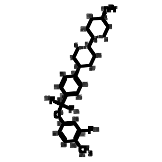 CCC[C@H]1CC[C@H]([C@H]2CC[C@H](c3ccc(C(F)(F)Oc4ccc(C(F)(F)F)c(F)c4)cc3)CC2)CC1